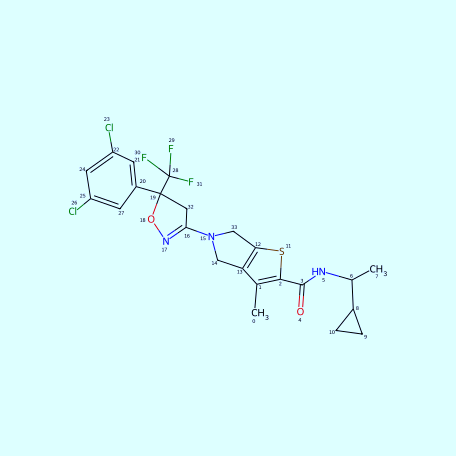 Cc1c(C(=O)NC(C)C2CC2)sc2c1CN(C1=NOC(c3cc(Cl)cc(Cl)c3)(C(F)(F)F)C1)C2